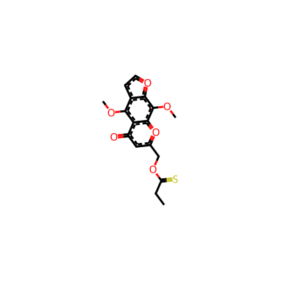 CCC(=S)OCc1cc(=O)c2c(OC)c3ccoc3c(OC)c2o1